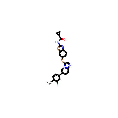 Cc1ccc(-c2ccc3ncc(Sc4ccc5nc(NC(=O)C6CC6)sc5c4)n3c2)cc1F